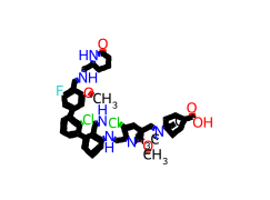 COc1cc(-c2cccc(-c3cccc(NCc4nc(OC)c(CN(C)C56CCC(C(=O)O)(CC5)CC6)cc4Cl)c3C=N)c2Cl)cc(F)c1CNCC1CCCC(=O)N1